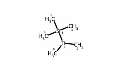 [CH3][Ti]([CH3])[Si](C)(C)C